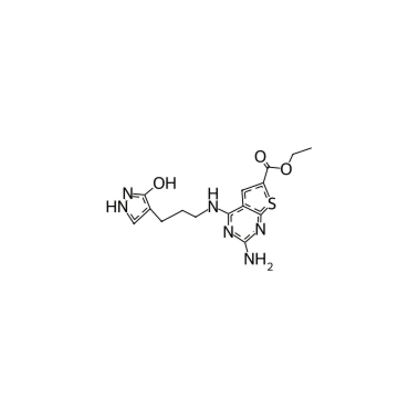 CCOC(=O)c1cc2c(NCCCc3c[nH]nc3O)nc(N)nc2s1